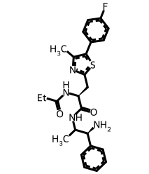 CCC(=O)N[C@@H](Cc1nc(C)c(-c2ccc(F)cc2)s1)C(=O)NC(C)[C@@H](N)c1ccccc1